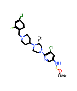 CC[C@H]1CN(c2ncc(NSOOC)cc2Cl)CCN1C1CCN(Cc2ccc(Cl)cc2F)CC1